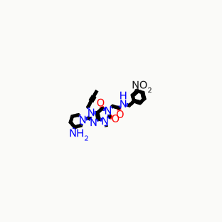 CC#CCn1c(N2CCCC(N)C2)nc2c1c(=O)n(CC(=O)NCc1cccc([N+](=O)[O-])c1)c(=O)n2C